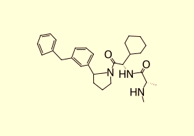 CN[C@@H](C)C(=O)N[C@H](C(=O)N1CCCC1c1cccc(Cc2ccccc2)c1)C1CCCCC1